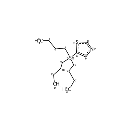 CCC[CH2][Sn]([CH2]CCC)([CH2]CCC)[c]1cn[c]s1